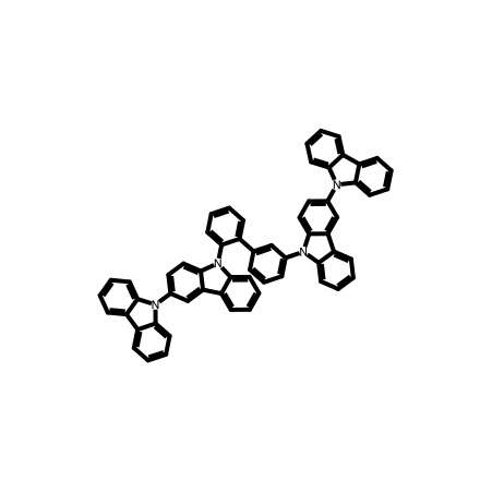 c1cc(-c2ccccc2-n2c3ccccc3c3cc(-n4c5ccccc5c5ccccc54)ccc32)cc(-n2c3ccccc3c3cc(-n4c5ccccc5c5ccccc54)ccc32)c1